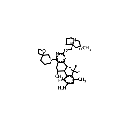 Cc1cc(N)c(F)c(C2Cc3nc(OC[C@@]45CCCN4C[C@H](C)C5)nc(N4CCCC5(CCO5)C4)c3CC2C)c1C(F)(F)F